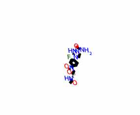 CC(=O)NC[C@H]1CN(c2ccc(N3CCN(C(N)=O)NC3)c(F)c2)C(=O)O1